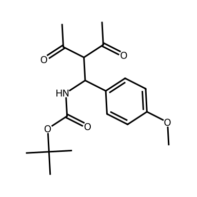 COc1ccc(C(NC(=O)OC(C)(C)C)C(C(C)=O)C(C)=O)cc1